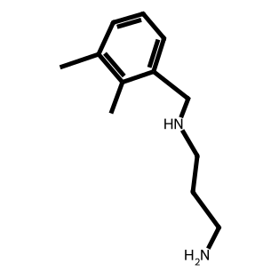 Cc1cccc(CNCCCN)c1C